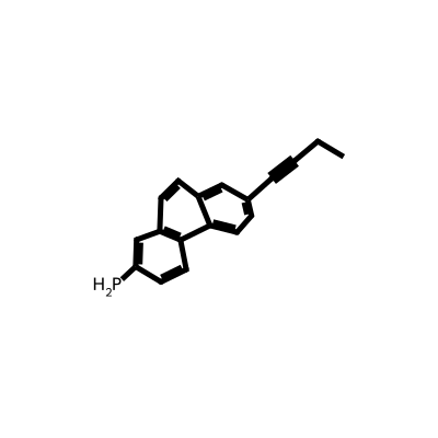 CCC#Cc1ccc2c(ccc3cc(P)ccc32)c1